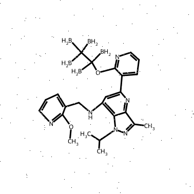 BC(B)(B)C(B)(B)Oc1ncccc1-c1cc(NCc2cccnc2OC)c2c(n1)c(C)nn2C(C)C